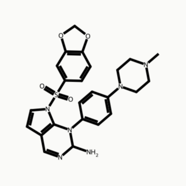 CN1CCN(c2ccc(N3c4c(ccn4S(=O)(=O)c4ccc5c(c4)OCO5)C=NC3N)cc2)CC1